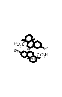 CC(C)C1=CC2=C([C@@H]3CC4C(C)(CCC[C@@]4(C)C(=O)O)C4=C3CC(C(C)C)CC4)CC3[C@](C)(CCC[C@@]3(C)C(=O)O)C2CC1